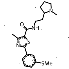 CSc1cccc(-c2nc(C)c(C(=O)NCCC3CCCN3C)s2)c1